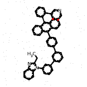 CCc1nc2ccccc2n1-c1cccc(-c2cccc(-c3ccc(-c4c5ccccc5c(-c5ccccc5-c5cccnc5)c5ccccc45)cc3)c2)c1